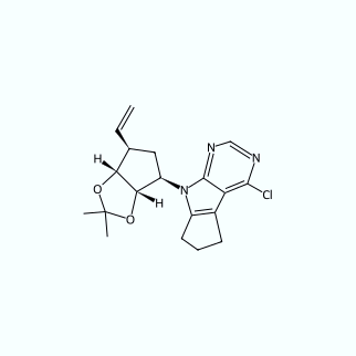 C=C[C@H]1C[C@@H](n2c3c(c4c(Cl)ncnc42)CCC3)[C@@H]2OC(C)(C)O[C@@H]21